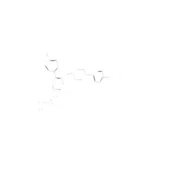 CCOC(=O)c1ccc(N2CCN(CC3=C(c4ccc(Cl)cc4)CCC(C)(CO[Si](C)(C)C(C)(C)C)C3)CC2)cc1